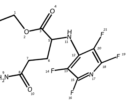 CCOC(=O)C(CCC(N)=O)Nc1c(F)c(F)nc(F)c1F